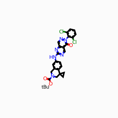 CC(C)(C)OC(=O)N1Cc2cc(Nc3ncc4c(=O)n(-c5c(Cl)cccc5Cl)ncc4n3)ccc2C2(CC2)C1